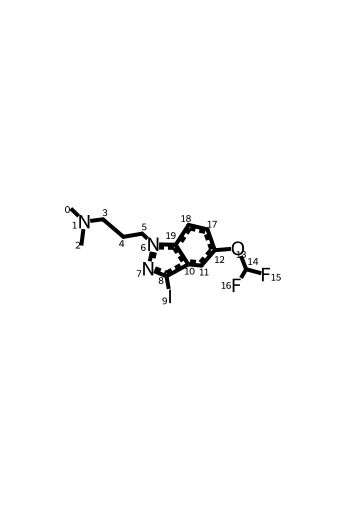 CN(C)CCCn1nc(I)c2cc(OC(F)F)ccc21